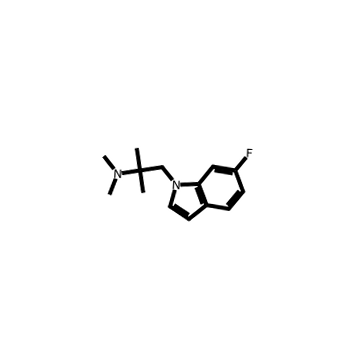 CN(C)C(C)(C)Cn1ccc2ccc(F)cc21